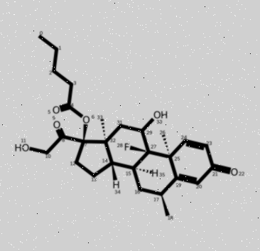 CCCCC(=O)O[C@]1(C(=O)CO)CC[C@H]2[C@@H]3C[C@H](C)C4=CC(=O)C=C[C@]4(C)[C@@]3(F)C(O)C[C@@]21C